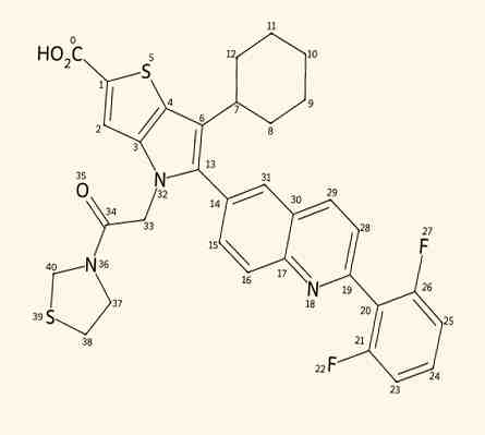 O=C(O)c1cc2c(s1)c(C1CCCCC1)c(-c1ccc3nc(-c4c(F)cccc4F)ccc3c1)n2CC(=O)N1CCSC1